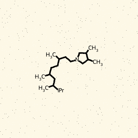 CC(CCC(C)CC(C)C(C)C)CCN1CC(C)C(C)C1